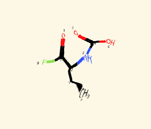 CCC(NC(=O)O)C(=O)F